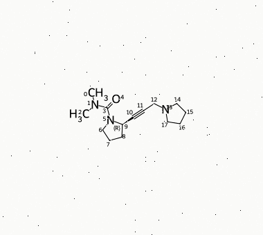 CN(C)C(=O)N1CCC[C@@H]1C#CCN1CCCC1